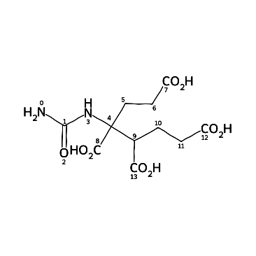 NC(=O)NC(CCC(=O)O)(C(=O)O)C(CCC(=O)O)C(=O)O